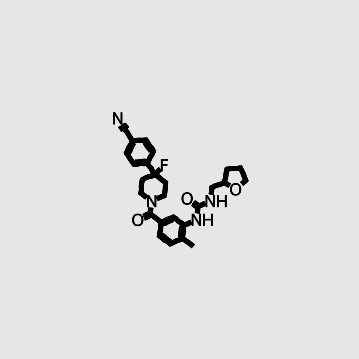 Cc1ccc(C(=O)N2CCC(F)(c3ccc(C#N)cc3)CC2)cc1NC(=O)NCC1CCCO1